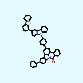 O=c1c2ccccc2c2cc(-c3ccc(-n4c5ccccc5c5cc(-c6cccc7c6sc6ccccc67)ccc54)cc3)cc3c4cc(-c5ccccc5)ccc4n1c23